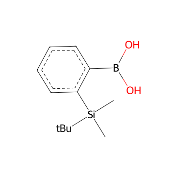 CC(C)(C)[Si](C)(C)c1ccccc1B(O)O